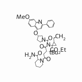 C=CC1CC1(C(=O)OCC)N(C(=O)[C@@H](CC(=O)N1CCCCC1C(N)=O)C(C)(C)C)C(=O)N1CCC(Oc2cc(-c3ccccc3)nc3cc(OC)ccc23)C1